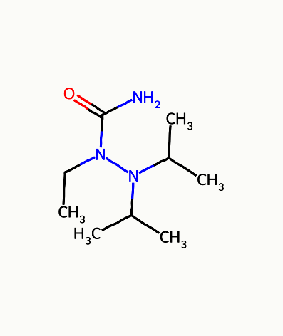 CCN(C(N)=O)N(C(C)C)C(C)C